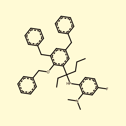 CCCC(CC)(Pc1ccc(F)cc1N(C)C)c1cc(Cc2ccccc2)cc(Cc2ccccc2)c1OCc1ccccc1